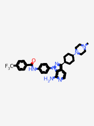 CN1CCN([C@H]2CC[C@H](c3nn(-c4ccc(NC(=O)c5ccc(C(F)(F)F)cc5)cc4)c4c(N)nccc43)CC2)CC1